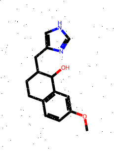 COc1ccc2c(c1)C(O)C(Cc1c[nH]cn1)CC2